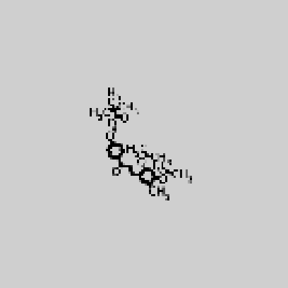 Cc1cc(C=CC(=O)c2ccc(OCOC(=O)C(C)(C)C)cc2)c(OC(C)C)cc1OC(C)C